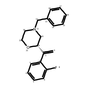 C=C(c1ccccc1F)[C@H]1CN(Cc2ccccc2)CCO1